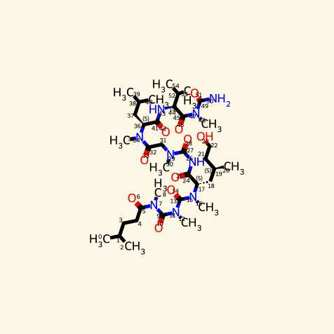 CC(C)CCC(=O)N(C)C(=O)N(C)C(=O)N(C)[C@@H](C[C@H](C)CCO)C(=O)NC(=O)N(C)CC(=O)N(C)[C@@H](CC(C)C)C(=O)N[C@H](C(=O)N(C)C(N)=O)C(C)C